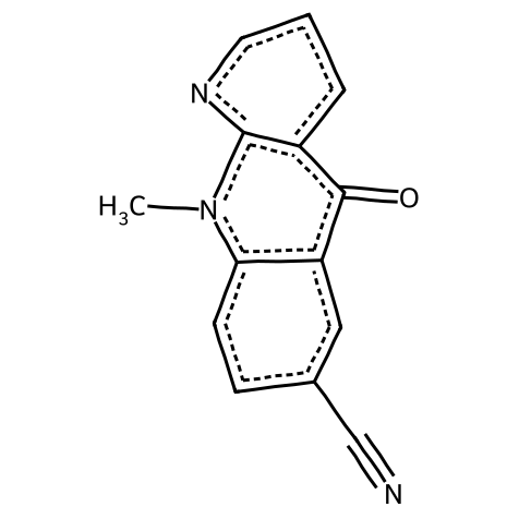 Cn1c2ccc(C#N)cc2c(=O)c2cccnc21